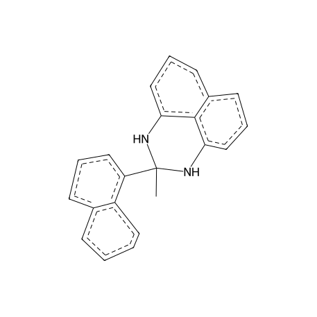 CC1(c2cccc3ccccc23)Nc2cccc3cccc(c23)N1